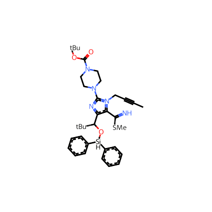 CC#CCn1c(N2CCN(C(=O)OC(C)(C)C)CC2)nc(C(O[SiH](c2ccccc2)c2ccccc2)C(C)(C)C)c1C(=N)SC